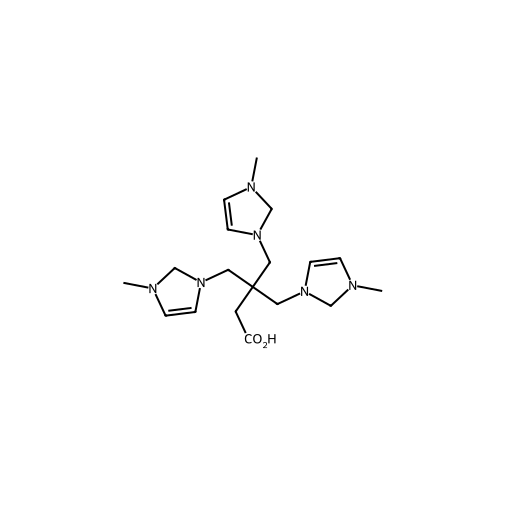 CN1C=CN(CC(CC(=O)O)(CN2C=CN(C)C2)CN2C=CN(C)C2)C1